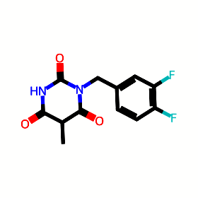 CC1C(=O)NC(=O)N(Cc2ccc(F)c(F)c2)C1=O